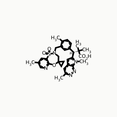 Cc1cnc2c(c1)S(=O)(=O)N(Cc1cc([C@@H](c3cc4cc(C)nnc4n3C)C(C)(C)C(=O)O)ccc1C)CC1(CC1)O2